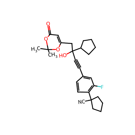 CC1(C)OC(=O)C=C(CC(O)(C#Cc2ccc(C3(C#N)CCCC3)c(F)c2)C2CCCC2)O1